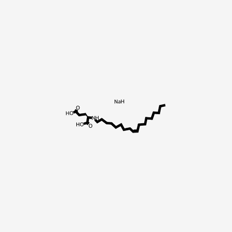 CCCCCCCC/C=C\CCCCCCCCN[C@H](CCC(=O)O)C(=O)O.[NaH]